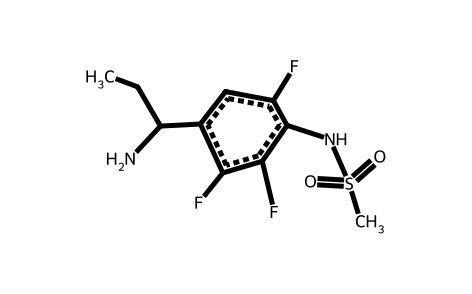 CCC(N)c1cc(F)c(NS(C)(=O)=O)c(F)c1F